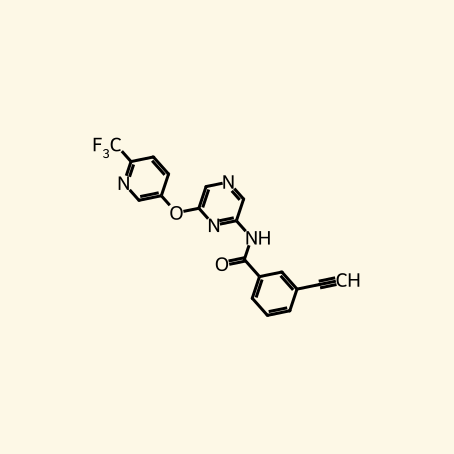 C#Cc1cccc(C(=O)Nc2cncc(Oc3ccc(C(F)(F)F)nc3)n2)c1